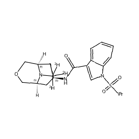 [2H]C([2H])([2H])N1[C@@H]2COC[C@H]1C[C@@H](NC(=O)c1cn(S(=O)(=O)C(C)C)c3ccccc13)C2